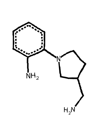 NCC1CCN(c2ccccc2N)C1